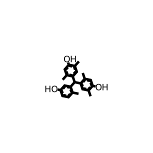 Cc1cc(C(c2cc(O)ccc2C)c2cc(C)c(O)cc2C)c(C)cc1O